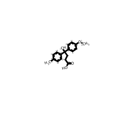 COc1ccc(C(C)(CCC(=O)O)c2ccc(C)cc2)cc1